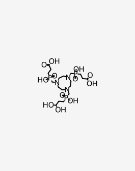 O=C(O)CCP(=O)(O)CN1CCN(CP(=O)(O)CCC(=O)O)CCN(CP(=O)(O)CCC(O)O)CC1